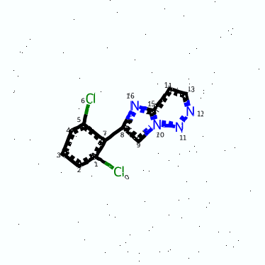 Clc1cccc(Cl)c1-c1cn2nnccc2n1